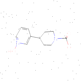 O=C([O-])N1CCC(c2ccc[n+](O)c2)CC1